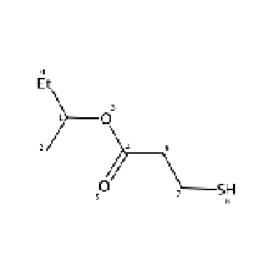 CCC(C)OC(=O)CCS